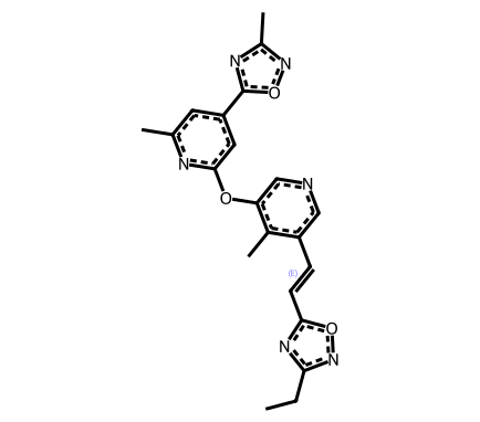 CCc1noc(/C=C/c2cncc(Oc3cc(-c4nc(C)no4)cc(C)n3)c2C)n1